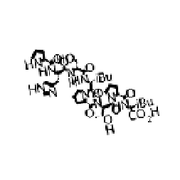 CC[C@H](C)[C@H](NC(=O)[C@@H]1CCCN1C(=O)[C@@H](NC(=O)[C@@H]1CCCN1C(=O)[C@@H](NC(=O)[C@H](CO)NC(=O)[C@H](Cc1c[nH]cn1)NC(=O)[C@@H]1CCCN1)[C@@H](C)CC)[C@@H](C)O)C(=O)O